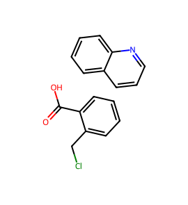 O=C(O)c1ccccc1CCl.c1ccc2ncccc2c1